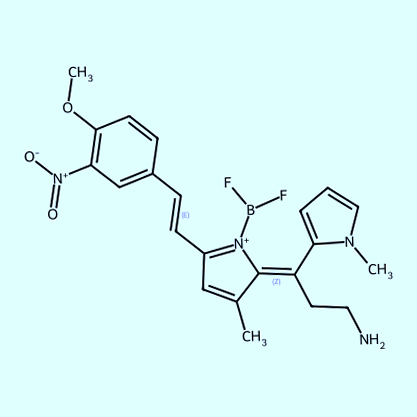 COc1ccc(/C=C/C2=[N+](B(F)F)C(=C(/CCN)c3cccn3C)/C(C)=C2)cc1[N+](=O)[O-]